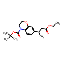 CCOC(=O)CC(C)c1ccc2c(c1)OCCN2C(=O)OC(C)(C)C